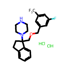 Cl.Cl.Fc1cc(COCC2(N3CCNCC3)CCc3ccccc32)cc(C(F)(F)F)c1